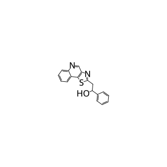 OC(Cc1nc2cnc3ccccc3c2s1)c1ccccc1